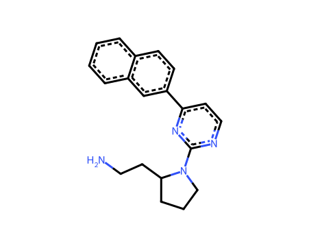 NCCC1CCCN1c1nccc(-c2ccc3ccccc3c2)n1